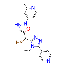 CCn1c(-c2ccncc2)nnc1C(S)C1=CNN(c2ccnc(C)c2)O1